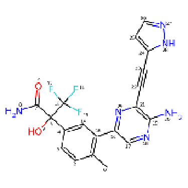 Cc1ccc(C(O)(C(N)=O)C(F)(F)F)cc1-c1cnc(N)c(C#Cc2ccn[nH]2)n1